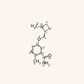 Cc1ncc(OC[C@@H]2CCN2C)cc1C(N)=O